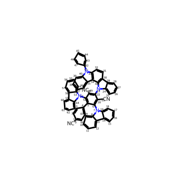 N#Cc1ccc(-c2c(-n3c4ccccc4c4ccccc43)c(C#N)c(-n3c4ccccc4c4ccc5c(c6ccccc6n5-c5ccccc5)c43)c(C#N)c2-n2c3ccccc3c3ccccc32)cc1